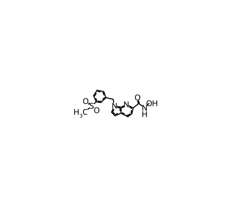 CS(=O)(=O)c1cccc(Cn2ccc3ccc(C(=O)NO)nc32)c1